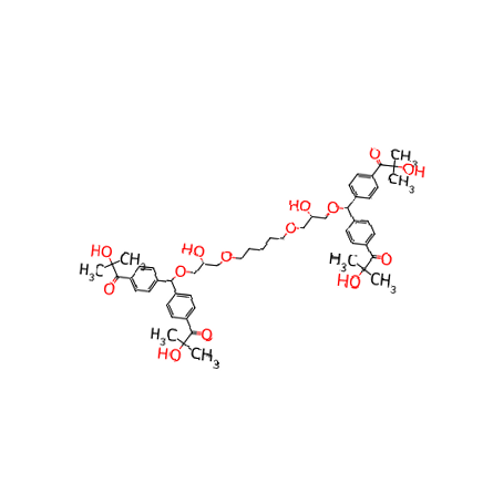 CC(C)(O)C(=O)c1ccc(C(OCC(O)COCCCCCOCC(O)COC(c2ccc(C(=O)C(C)(C)O)cc2)c2ccc(C(=O)C(C)(C)O)cc2)c2ccc(C(=O)C(C)(C)O)cc2)cc1